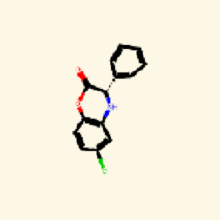 O=C1Oc2ccc(Cl)cc2N[C@H]1c1ccccc1